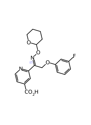 O=C(O)c1ccnc(/C(COc2cccc(F)c2)=N/OC2CCCCO2)c1